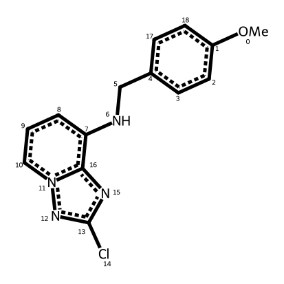 COc1ccc(CNc2cccn3nc(Cl)nc23)cc1